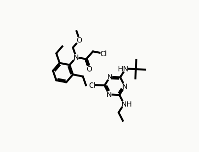 CCNc1nc(Cl)nc(NC(C)(C)C)n1.CCc1cccc(CC)c1N(COC)C(=O)CCl